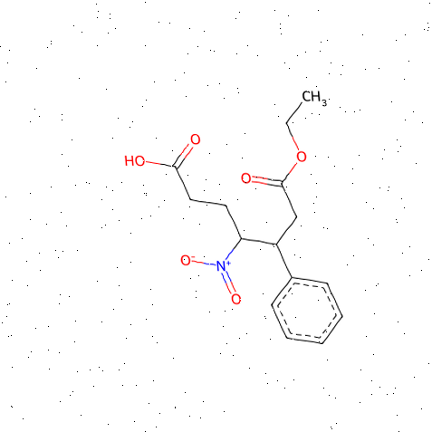 CCOC(=O)CC(c1ccccc1)C(CCC(=O)O)[N+](=O)[O-]